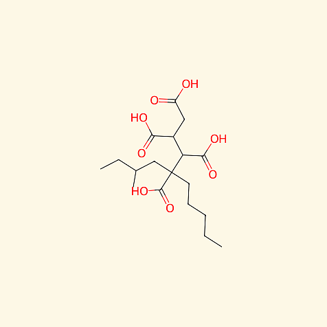 CCCCCC(CC(C)CC)(C(=O)O)C(C(=O)O)C(CC(=O)O)C(=O)O